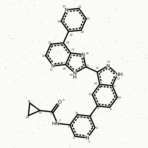 O=C(Nc1cncc(-c2ccc3[nH]nc(-c4nc5c(-c6cccnc6)ccnc5[nH]4)c3c2)c1)C1CC1